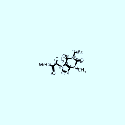 COC(=O)C(C)n1cnc2c1c(=O)n(CC(C)=O)c(=O)n2C